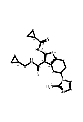 Nc1nccn1C1CCc2sc(NC(=O)C3CC3)c(C(=O)NCC3CC3)c2C1